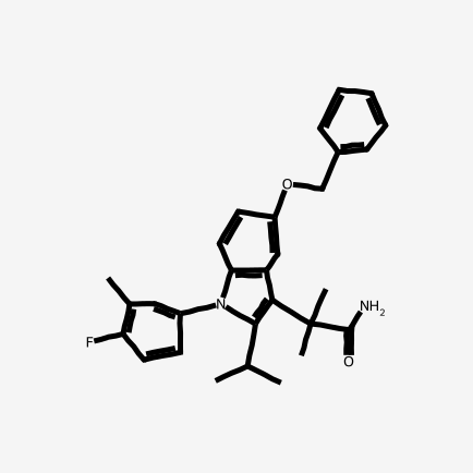 Cc1cc(-n2c(C(C)C)c(C(C)(C)C(N)=O)c3cc(OCc4ccccc4)ccc32)ccc1F